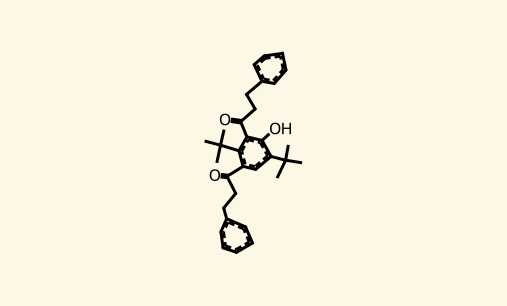 CC(C)(C)c1cc(C(=O)CCc2ccccc2)c(C(C)(C)C)c(C(=O)CCc2ccccc2)c1O